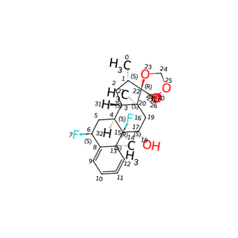 C[C@H]1C[C@H]2[C@@H]3C[C@H](F)C4=CC=C=C[C@]4(C)[C@@]3(F)[C@@H](O)C[C@]2(C)[C@]12OCOC21COCO1